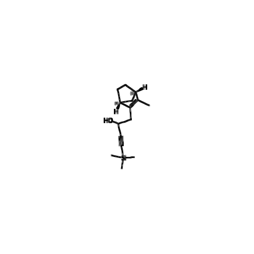 CC1=C(CC(O)C#C[Si](C)(C)C)[C@@H]2CC[C@H]1C2